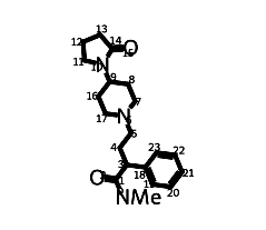 CNC(=O)C(CCN1CCC(N2CCCC2=O)CC1)c1ccccc1